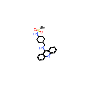 CC(C)(C)S(=O)(=O)NC1CCC(CNc2c3ccccc3nc3ccccc23)CC1